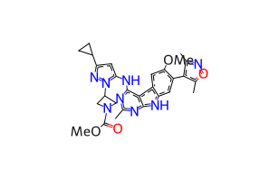 COC(=O)N1CC(n2nc(C3CC3)cc2Nc2nc(C)nc3[nH]c4cc(-c5c(C)noc5C)c(OC)cc4c23)C1